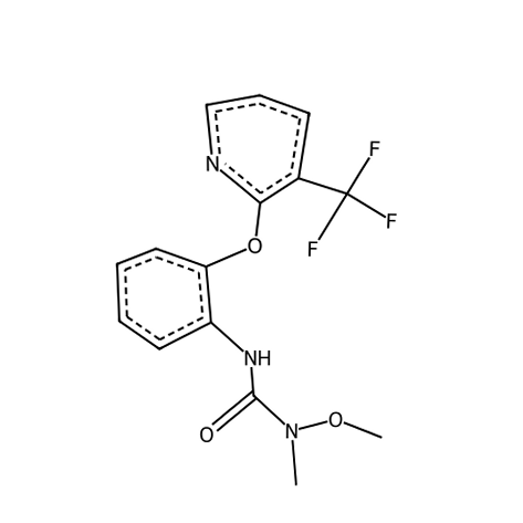 CON(C)C(=O)Nc1ccccc1Oc1ncccc1C(F)(F)F